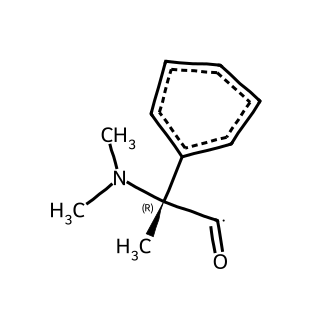 CN(C)[C@@](C)([C]=O)c1ccccc1